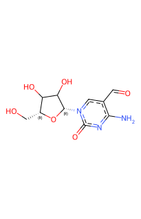 Nc1nc(=O)n([C@@H]2O[C@H](CO)C(O)C2O)cc1C=O